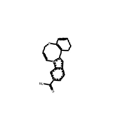 O=C(O)c1ccc2cc3n(c2c1)C=CCOC1=C3CCC=C1